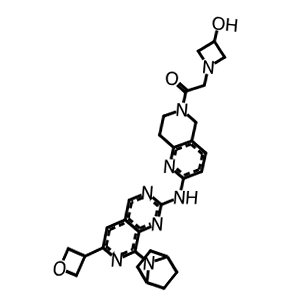 O=C(CN1CC(O)C1)N1CCc2nc(Nc3ncc4cc(C5COC5)nc(N5C6CCC5CC6)c4n3)ccc2C1